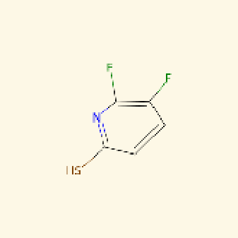 Fc1ccc(S)nc1F